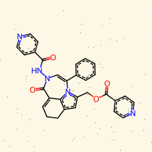 O=C(NN1C=C(c2ccccc2)n2c(COC(=O)c3ccncc3)cc3c2C(=CCC3)C1=O)c1ccncc1